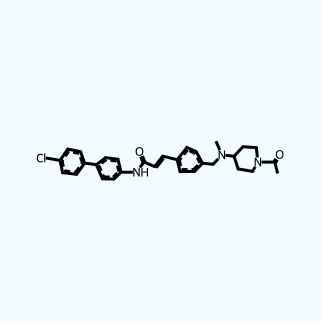 CC(=O)N1CCC(N(C)Cc2ccc(/C=C/C(=O)Nc3ccc(-c4ccc(Cl)cc4)cc3)cc2)CC1